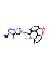 CC(C)c1ccccc1-c1c([N+](=O)[O-])[c]ccc1/C=C/C(=O)N1CCNC(C(=O)NC2CC2)C1